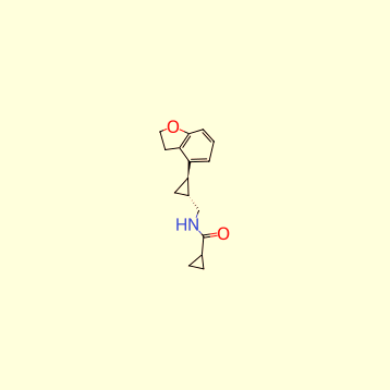 O=C(NC[C@@H]1C[C@H]1c1cccc2c1CCO2)C1CC1